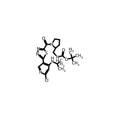 CC(C)Nc1cc(Cl)ncc1-c1nnc(C(=O)N2CCCC2CNC(=O)OC(C)(C)C)s1